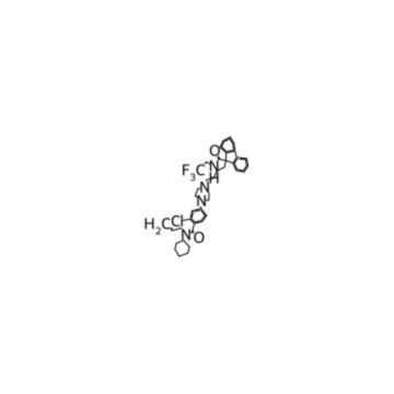 C=CCN(C(=O)c1ccc(N2CCN(CCCCC3(C(=O)NCC(F)(F)F)c4ccccc4-c4ccccc43)CC2)cc1Cl)C1CCCCC1